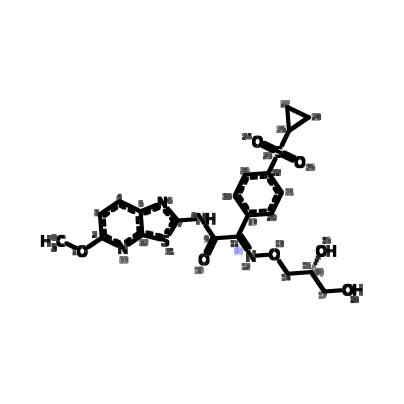 COc1ccc2nc(NC(=O)/C(=N/OC[C@H](O)CO)c3ccc(S(=O)(=O)C4CC4)cc3)sc2n1